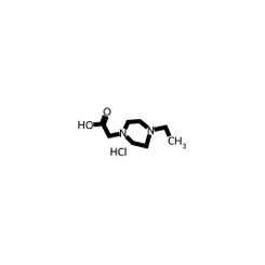 CCN1CCN(CC(=O)O)CC1.Cl